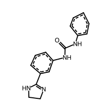 O=C(Nc1ccccc1)Nc1cccc(C2=NCCN2)c1